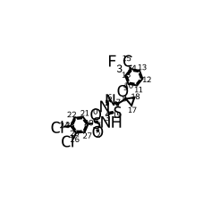 O=S(=O)(Nc1nnc(C2(Oc3cccc(C(F)(F)F)c3)CC2)s1)c1ccc(Cl)c(Cl)c1